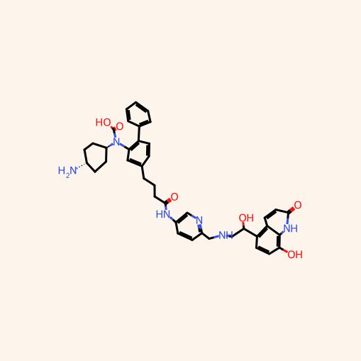 N[C@H]1CC[C@H](N(C(=O)O)c2cc(CCCC(=O)Nc3ccc(CNCC(O)c4ccc(O)c5[nH]c(=O)ccc45)nc3)ccc2-c2ccccc2)CC1